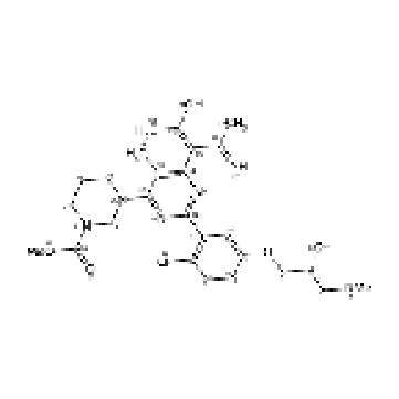 CNC[C@@H](O)COc1ccc(Cl)c(-c2nc(/C(C(C)=N)=C(\C)O)c(C)c(N3CCCN(C(=O)OC)C3)n2)c1